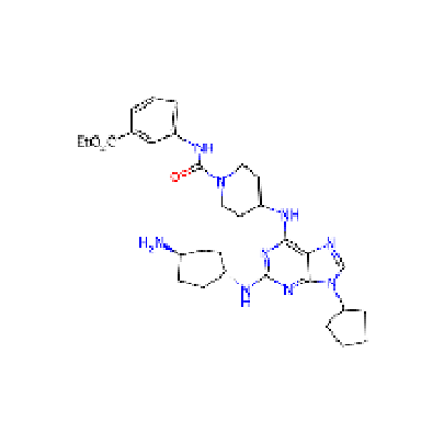 CCOC(=O)c1cccc(NC(=O)N2CCC(Nc3nc(N[C@H]4CC[C@H](N)CC4)nc4c3ncn4C3CCCC3)CC2)c1